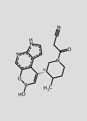 CC1CCN(C(=O)CC#N)C[C@H]1C1=CB(O)Oc2cnc3[nH]ccc3c21